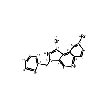 Brc1ccc2ncc3c(c(Br)nn3Cc3ccccc3)c2c1